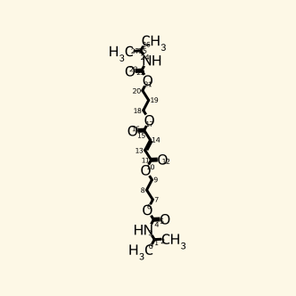 CC(C)NC(=O)OCCCOC(=O)/C=C/C(=O)OCCCOC(=O)NC(C)C